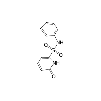 O=c1cccc(S(=O)(=O)Nc2ccccc2)[nH]1